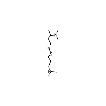 CC(CCSSCCCN(C)C)N(C)C